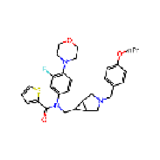 CCCOc1ccc(CN2CC3C(C2)C3CN(C(=O)c2cccs2)c2ccc(N3CCOCC3)c(F)c2)cc1